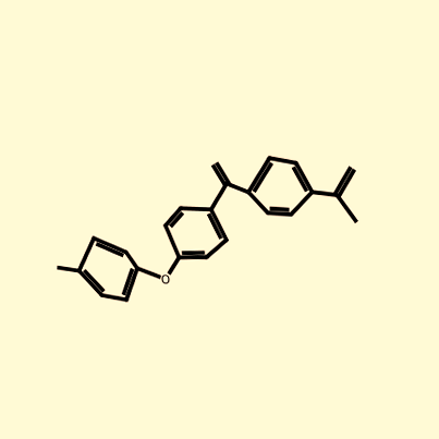 C=C(C)c1ccc(C(=C)c2ccc(Oc3ccc(C)cc3)cc2)cc1